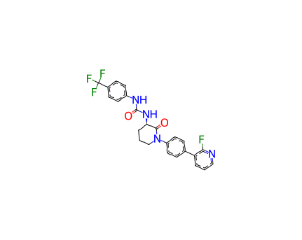 O=C(Nc1ccc(C(F)(F)F)cc1)N[C@@H]1CCCN(c2ccc(-c3cccnc3F)cc2)C1=O